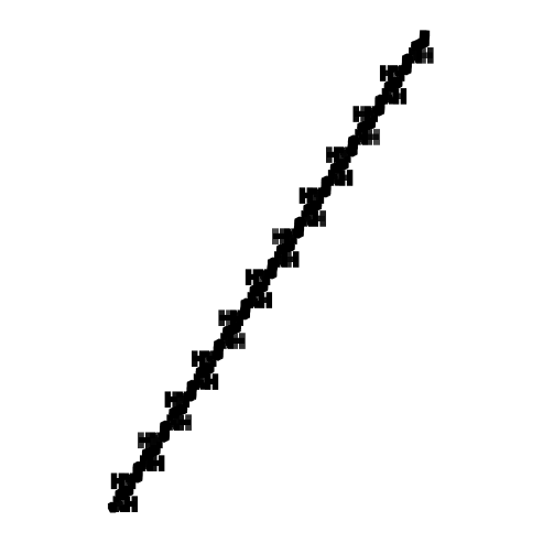 CCCNCCNCCNCCNCCNCCNCCNCCNCCNCCNCCNCCNCCNCCNCCNCCNCCNCCNCCNCCNCCNCCNCCNC